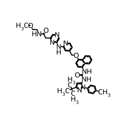 COCCNC(=O)Cc1cncc(Nc2cc(COc3ccc(NC(=O)Nc4cc(C(C)(C)C)nn4-c4ccc(C)cc4)c4ccccc34)ccn2)n1